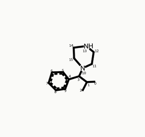 CC(C)C(c1ccccc1)N1CCNCC1